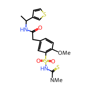 CNC(=S)NS(=O)(=O)c1cc(CC(=O)NC(C)c2ccsc2)ccc1OC